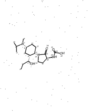 CCC(O)[C@@H]1C[C@H](N(C)C(C)C)CC[C@@H]1N1CC[C@H](NC(=O)O)C1=O